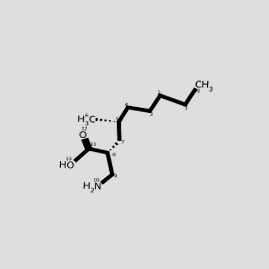 CCCCC[C@@H](C)C[C@H](CN)C(=O)O